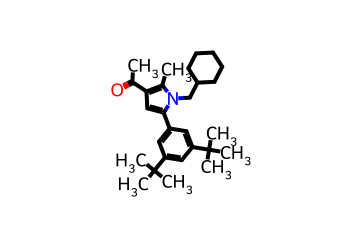 CC(=O)c1cc(-c2cc(C(C)(C)C)cc(C(C)(C)C)c2)n(CC2CCCCC2)c1C